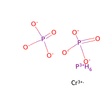 O=P([O-])([O-])[O-].O=P([O-])([O-])[O-].[Cr+3].[PH6+3]